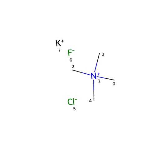 C[N+](C)(C)C.[Cl-].[F-].[K+]